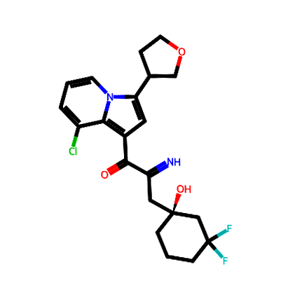 N=C(C[C@@]1(O)CCCC(F)(F)C1)C(=O)c1cc(C2CCOC2)n2cccc(Cl)c12